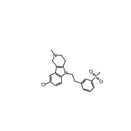 CN1CCc2c(c3cc(Cl)ccc3n2CCc2cccc(S(C)(=O)=O)c2)C1